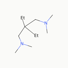 CCC(CC)(CN(C)C)CN(C)C